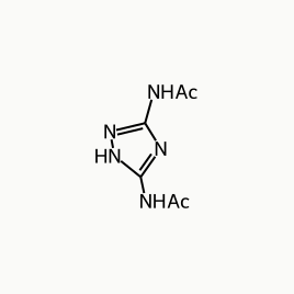 CC(=O)Nc1n[nH]c(NC(C)=O)n1